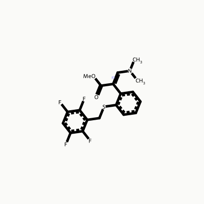 COC(=O)/C(=C/N(C)C)c1ccccc1SCc1c(F)c(F)cc(F)c1F